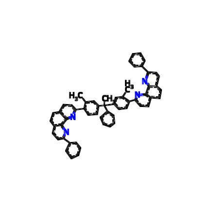 Cc1cc(C(C)(c2ccccc2)c2ccc(-c3ccc4ccc5ccc(-c6ccccc6)nc5c4n3)c(C)c2)ccc1-c1ccc2ccc3ccc(-c4ccccc4)nc3c2n1